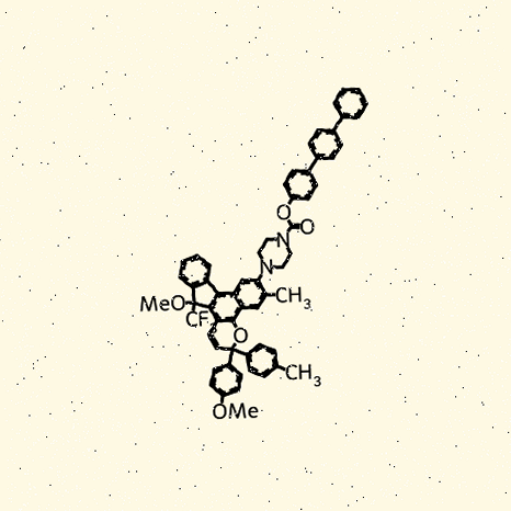 COc1ccc(C2(c3ccc(C)cc3)C=Cc3c4c(c5cc(N6CCN(C(=O)Oc7ccc(-c8ccc(-c9ccccc9)cc8)cc7)CC6)c(C)cc5c3O2)-c2ccccc2C4(OC)C(F)(F)F)cc1